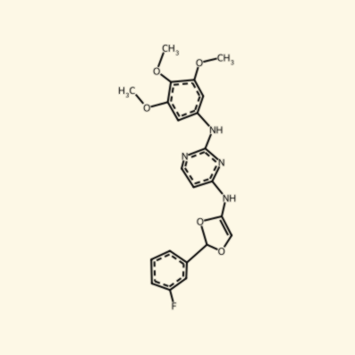 COc1cc(Nc2nccc(NC3=COC(c4cccc(F)c4)O3)n2)cc(OC)c1OC